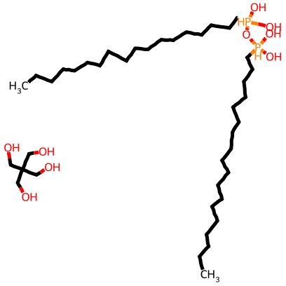 CCCCCCCCCCCCCCCCCC[PH](O)(O)O[PH](O)(O)CCCCCCCCCCCCCCCCCC.OCC(CO)(CO)CO